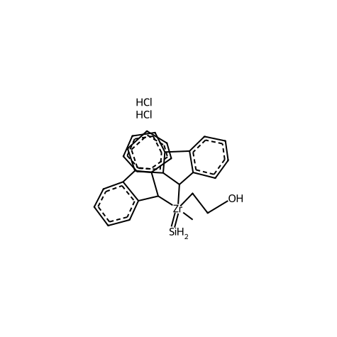 Cl.Cl.[CH3][Zr](=[SiH2])([CH2]CO)([CH]1c2ccccc2-c2ccccc21)[CH]1c2ccccc2-c2ccccc21